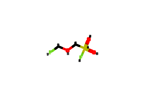 O=S(=O)(F)COCF